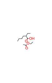 CCCCC(CC)C(=O)O.CCOC(C)=O